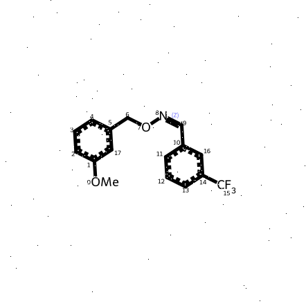 COc1cccc(CO/N=[C]\c2cccc(C(F)(F)F)c2)c1